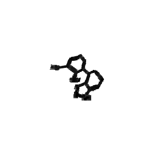 CC(C)(C)c1c(O)cccc1-c1cccc2[nH]nnc12